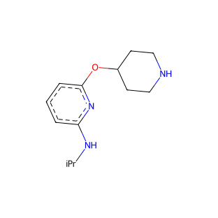 CC(C)Nc1cccc(OC2CCNCC2)n1